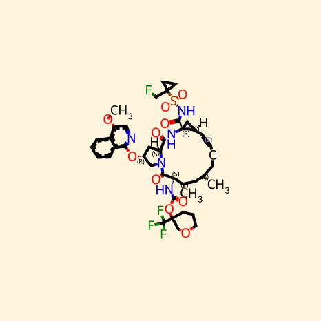 COc1cnc(O[C@@H]2C[C@H]3C(=O)N[C@]4(C(=O)NS(=O)(=O)C5(CF)CC5)C[C@H]4/C=C\CC[C@H](C)C[C@@H](C)[C@H](NC(=O)OC4(C(F)(F)F)CCCOC4)C(=O)N3C2)c2ccccc12